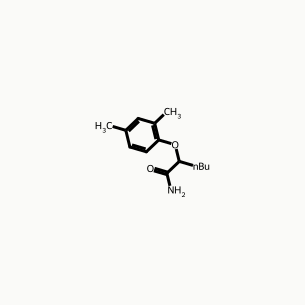 CCCCC(Oc1ccc(C)cc1C)C(N)=O